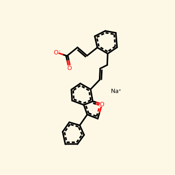 O=C([O-])/C=C/c1ccccc1C/C=C/c1cccc2c(-c3ccccc3)coc12.[Na+]